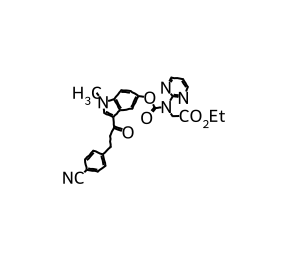 CCOC(=O)CN(C(=O)Oc1ccc2c(c1)c(C(=O)CCc1ccc(C#N)cc1)cn2C)c1ncccn1